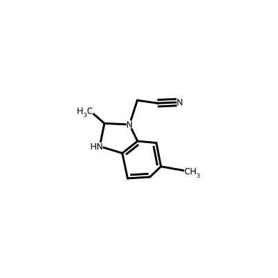 Cc1ccc2c(c1)N(CC#N)C(C)N2